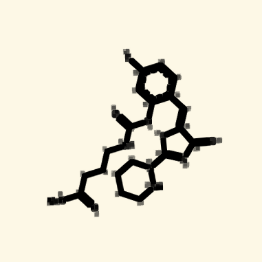 COC(=O)CCCNC(=O)Oc1cc(F)ccc1/C=C1\SC(N2CCCCN2)=NC1=O